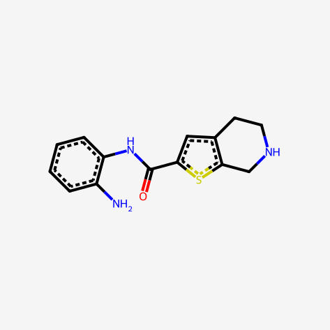 Nc1ccccc1NC(=O)c1cc2c(s1)CNCC2